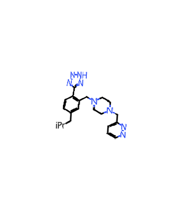 CC(C)Cc1ccc(-c2nn[nH]n2)c(CN2CCN(Cc3cccnn3)CC2)c1